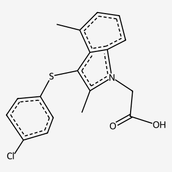 Cc1cccc2c1c(Sc1ccc(Cl)cc1)c(C)n2CC(=O)O